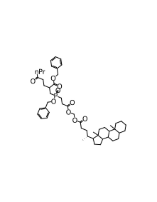 CCCC(=O)CCC(CP(=O)(CCC(=O)OCOC(=O)CC[C@@H](C)C1CCC2C3CCC4CCCCC4(C)C3CCC21C)OCc1ccccc1)C(=O)OCc1ccccc1